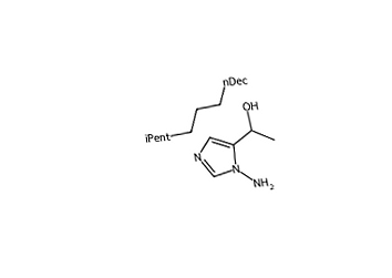 CC(O)c1cncn1N.CCCCCCCCCCCCCC(C)CCC